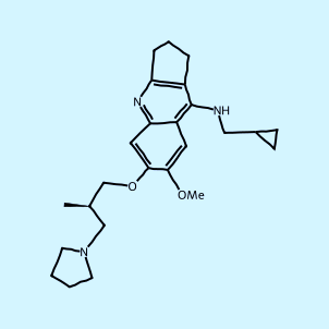 COc1cc2c(NCC3CC3)c3c(nc2cc1OC[C@H](C)CN1CCCC1)CCC3